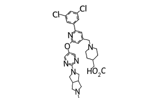 CN1CC2CN(c3ncc(Oc4cc(CN5CCC(CC(=O)O)CC5)cc(-c5cc(Cl)cc(Cl)c5)n4)cn3)CC2C1